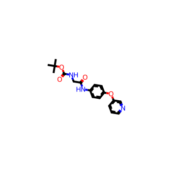 CC(C)(C)OC(=O)NCC(=O)Nc1ccc(Oc2cccnc2)cc1